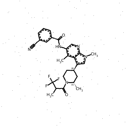 Cc1c(NC(=O)c2cccc(C#N)c2)cnc2c1c([C@@H]1CCN(C(=O)C(C)C(F)(F)F)[C@@H](C)C1)cn2C